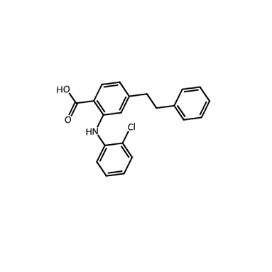 O=C(O)c1ccc(CCc2ccccc2)cc1Nc1ccccc1Cl